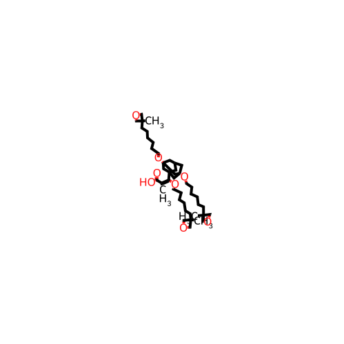 CC(C(=O)O)=C(OCCCCCCC1(C)COC1)C12CC3CC(OCCCCCCC4(C)COC4)(CC(OCCCCCCC4(C)COC4)(C3)C1)C2